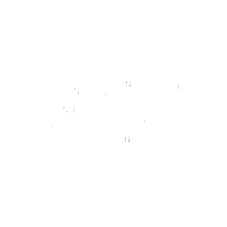 Cc1ccc(C(=O)NC2(c3ccccn3)CC2)cc1-c1cnc2occ(C(=O)N(C)c3ccc(F)cc3)c2c1